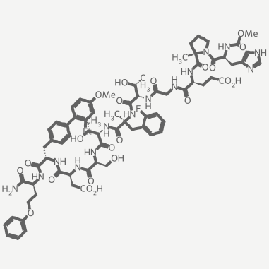 CCc1cc(OC)ccc1-c1ccc(C[C@H](NC(=O)[C@H](CC(=O)O)NC(=O)[C@H](CO)NC(=O)[C@@H](NC(=O)[C@](C)(Cc2ccccc2F)NC(=O)[C@@H](NC(=O)CNC(=O)[C@H](CCC(=O)O)NC(=O)[C@]2(C)CCCN2C(=O)[C@H](Cc2c[nH]cn2)NC(=O)OC)[C@@H](C)O)[C@@H](C)O)C(=O)N[C@@H](CCOc2ccccc2)C(N)=O)cc1